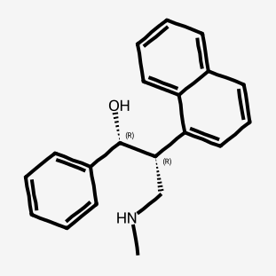 CNC[C@@H](c1cccc2ccccc12)[C@@H](O)c1ccccc1